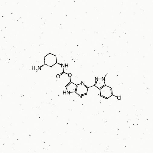 Cn1nc(-c2cnc3[nH]cc(OC(=O)N[C@@H]4CCC[C@H](N)C4)c3n2)c2ccc(Cl)cc21